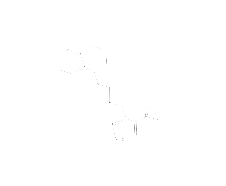 O=C(CCC1CCCc2ccccc21)Nc1ccccc1C(=O)O